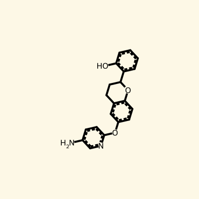 Nc1ccc(Oc2ccc3c(c2)CCC(c2ccccc2O)O3)nc1